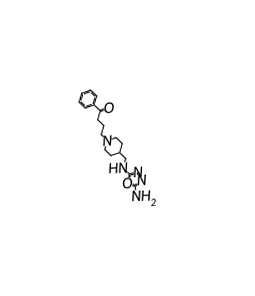 Nc1nnc(NCC2CCN(CCCC(=O)c3ccccc3)CC2)o1